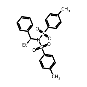 CC[C@@H](c1ccccc1)N(S(=O)(=O)c1ccc(C)cc1)S(=O)(=O)c1ccc(C)cc1